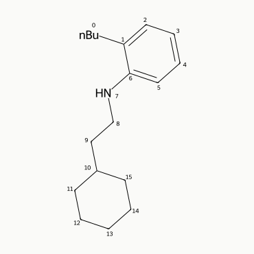 CCCCc1ccccc1NCCC1CCCCC1